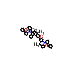 Cc1cccc(C)c1N(c1ccc2c(c1)oc1cc3c(cc12)-c1c(cc(N(c2c(C)cccc2C)c2cccc4c2oc2ccccc24)c2ccccc12)C3(C)C)c1cccc2c1oc1ccccc12